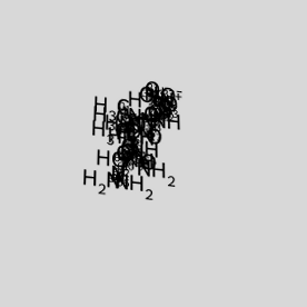 CC[C@H](C)[C@H](NC(=O)CNC(=O)[C@H](CCC(N)=O)NC(=O)[C@@H]1CCCN1c1ccc([N+](=O)[O-])cc1[N+](=O)[O-])C(=O)N[C@@H](C)C(=O)NCC(=O)N[C@@H](CCC(N)=O)C(=O)N[C@H](CCCN=C(N)N)C(=O)O